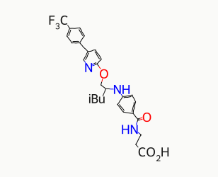 CCC(C)C(COc1ccc(-c2ccc(C(F)(F)F)cc2)cn1)Nc1ccc(C(=O)NCCC(=O)O)cc1